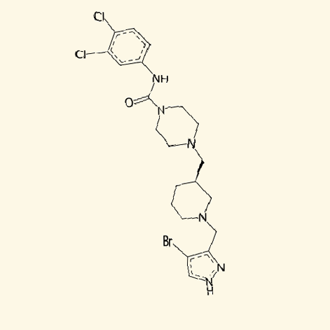 O=C(Nc1ccc(Cl)c(Cl)c1)N1CCN(C[C@@H]2CCCN(Cc3n[nH]cc3Br)C2)CC1